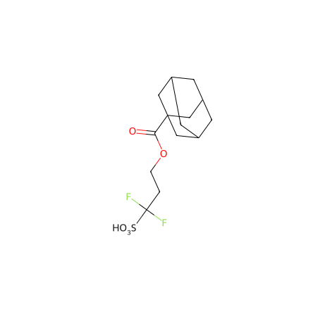 O=C(OCCC(F)(F)S(=O)(=O)O)C12CC3CC(CC(C3)C1)C2